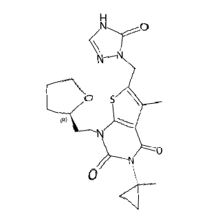 Cc1c(Cn2nc[nH]c2=O)sc2c1c(=O)n(C1(C)CC1)c(=O)n2C[C@H]1CCCO1